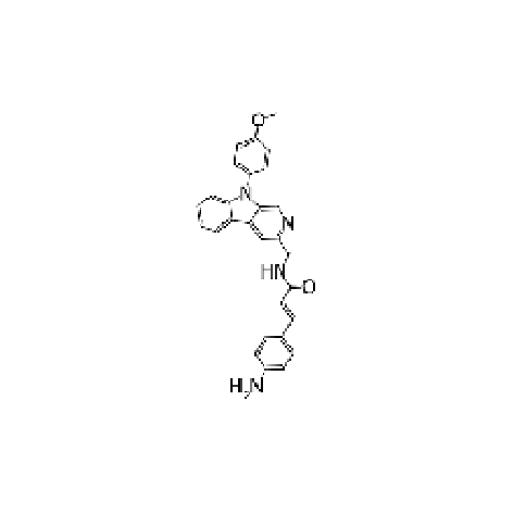 COc1ccc(-n2c3ccccc3c3cc(CNC(=O)/C=C/c4ccc(N)cc4)ncc32)cc1